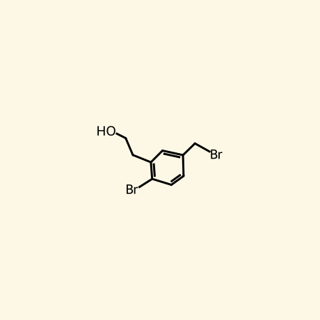 OCCc1cc(CBr)ccc1Br